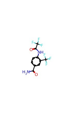 NC(=O)c1ccc(NC(=O)C(F)(F)F)c(C(F)(F)F)c1